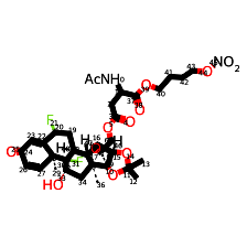 CC(=O)NC(CC(=O)OCC(=O)[C@@]12OC(C)(C)O[C@@H]1C[C@H]1[C@@H]3C[C@H](F)C4=CC(=O)C=C[C@]4(C)[C@@]3(F)[C@@H](O)C[C@@]12C)C(=O)OCCCCO[N+](=O)[O-]